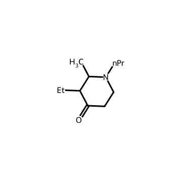 CCCN1CCC(=O)C(CC)C1C